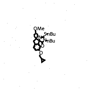 CCCCSC1=NC2(C(=O)N1CCCC)c1cc(OCC3CC3)ccc1CC21CCC(OC)CC1